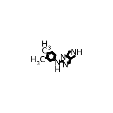 Cc1ccc(Nc2ncc3c(n2)CNC3)cc1C